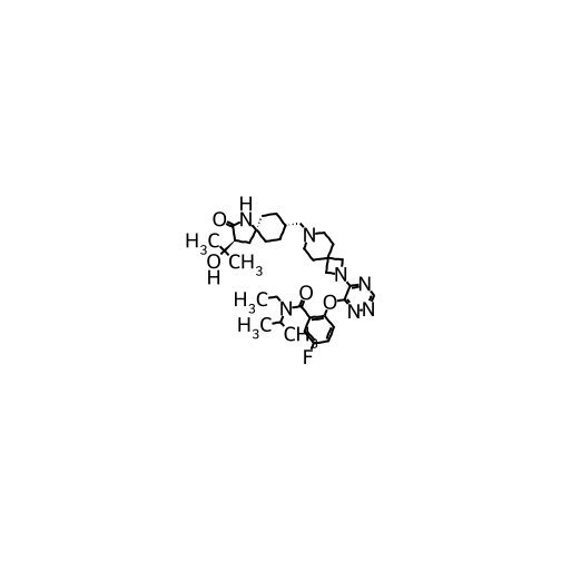 CCN(C(=O)c1cc(F)ccc1Oc1nncnc1N1CC2(CCN(C[C@H]3CC[C@]4(CC3)C[C@@H](C(C)(C)O)C(=O)N4)CC2)C1)C(C)C